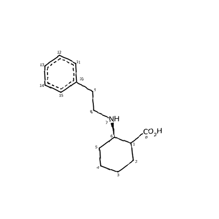 O=C(O)C1CCCC[C@H]1NCCc1ccccc1